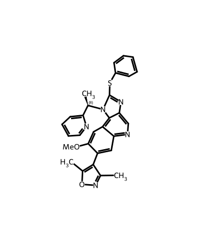 COc1cc2c(cc1-c1c(C)noc1C)ncc1nc(Sc3ccccc3)n([C@H](C)c3ccccn3)c12